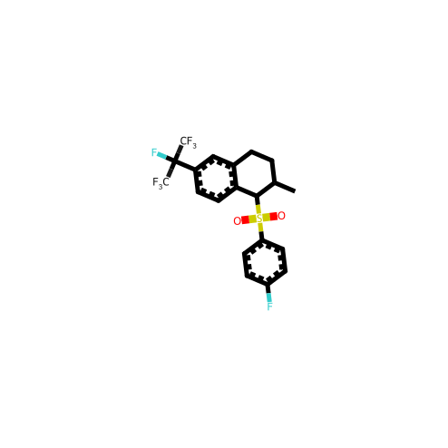 CC1CCc2cc(C(F)(C(F)(F)F)C(F)(F)F)ccc2C1S(=O)(=O)c1ccc(F)cc1